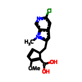 COC1=C(B(O)O)C(Cc2cc3cc(Cl)ncc3n2C)C=C1